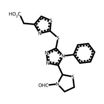 O=CN1CCSC1c1nnc(Sc2nc(CC(=O)O)cs2)n1-c1ccccc1